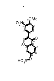 COc1ccc(-c2coc3cc(OS(=O)(=O)O)ccc3c2=O)cc1[N+](=O)[O-]